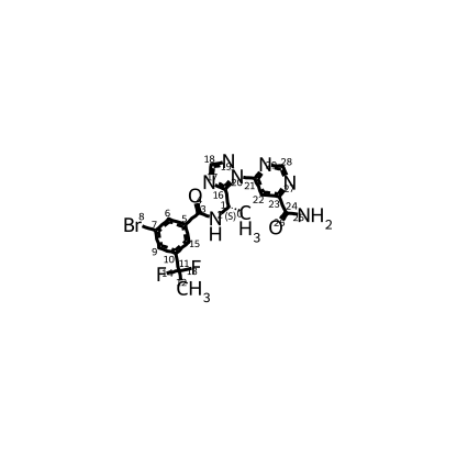 C[C@H](NC(=O)c1cc(Br)cc(C(C)(F)F)c1)c1ncnn1-c1cc(C(N)=O)ncn1